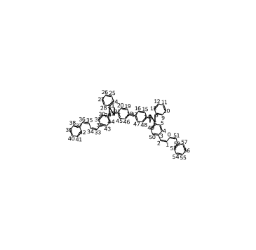 C(/C=C\c1ccc(N(c2ccccc2)c2ccc(-c3ccc(N(c4ccccc4)c4ccc(/C=C\C=C/c5ccccc5)cc4)cc3)cc2)cc1)=C/c1ccccc1